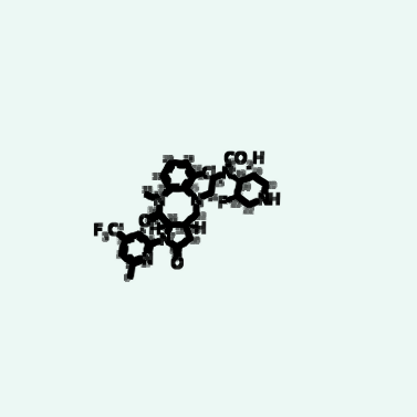 Cc1cc(C(F)(F)F)cc(N2C(=O)C[C@@H]3CN(CCN(C(=O)O)[C@H]4CCNC[C@H]4F)c4c(Cl)cccc4N(C)C(=O)[C@H]32)n1